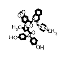 Cc1cc(C(=O)N(c2ccc(O)cc2)c2ccc(O)cc2)cn1-c1cc2c(cc1C(=O)N1Cc3ccccc3C[C@H]1CN1CCN(C)CC1)OCO2